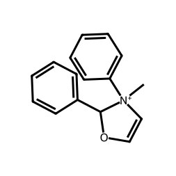 C[N+]1(c2ccccc2)C=COC1c1ccccc1